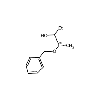 CCC(O)[C@H](C)OCc1ccccc1